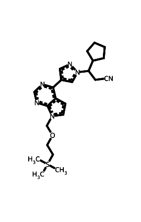 CS(C)(C)CCOCn1ccc2c(-c3cnn(C(CC#N)C4CCCC4)c3)ncnc21